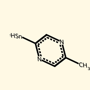 Cc1cn[c]([SnH])cn1